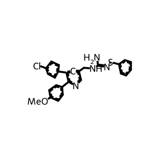 COc1ccc(-c2ncc(CN/C(N)=N/Sc3ccccc3)cc2-c2ccc(Cl)cc2)cc1